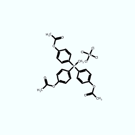 CC(=O)Oc1ccc([P+](C)(c2ccc(OC(C)=O)cc2)c2ccc(OC(C)=O)cc2)cc1.[Cl][Fe-]([Cl])([Cl])[Cl]